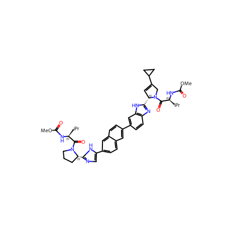 COC(=O)N[C@H](C(=O)N1CC(C2CC2)=C[C@H]1c1nc2ccc(-c3ccc4cc(-c5cnc([C@@H]6CCCN6C(=O)[C@@H](NC(=O)OC)C(C)C)[nH]5)ccc4c3)cc2[nH]1)C(C)C